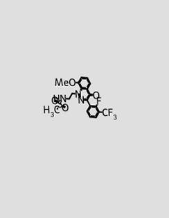 COc1cccc2c(=O)c(-c3cccc(C(F)(F)F)c3F)nn(CCNS(C)(=O)=O)c12